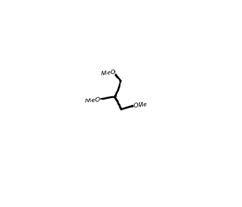 COC[C](COC)OC